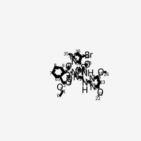 CCOC(=O)c1ccccc1S(=O)(=O)NN=C(Nc1nc(OC)cc(OC)n1)NS(=O)(=O)c1nn(C)cc1Br